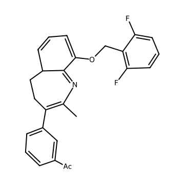 CC(=O)c1cccc(C2=C(C)N=C3C(OCc4c(F)cccc4F)=CC=CC3CC2)c1